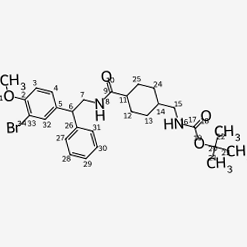 COc1ccc(C(CNC(=O)C2CCC(CNC(=O)OC(C)(C)C)CC2)c2ccccc2)cc1Br